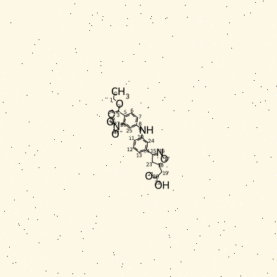 CCOC(=O)c1ccc(Nc2cccc(C3=NOC(CC(=O)O)C3)c2)cc1[N+](=O)[O-]